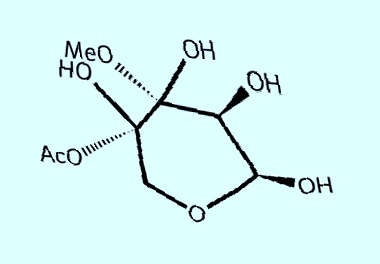 CO[C@]1(O)[C@@H](O)[C@@H](O)OC[C@]1(O)OC(C)=O